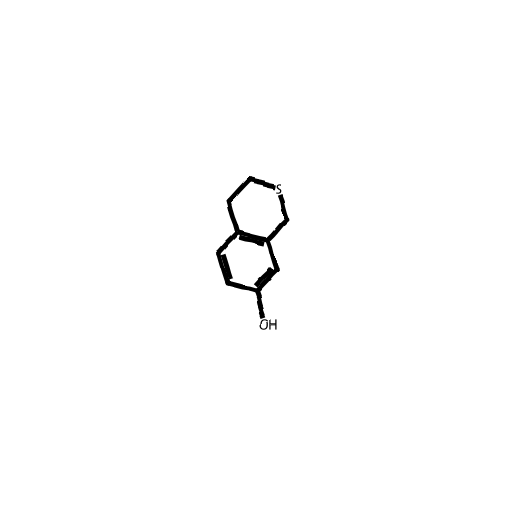 Oc1ccc2c(c1)CSCC2